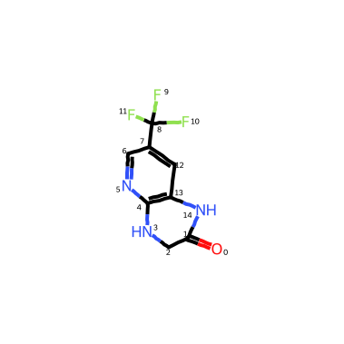 O=C1CNc2ncc(C(F)(F)F)cc2N1